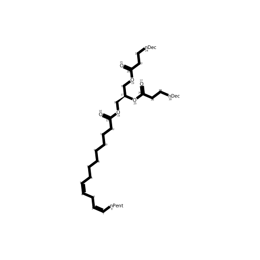 CCCCC/C=C\C/C=C\CCCCCCCC(=O)OC[C@@H](COC(=O)CCCCCCCCCCCC)OC(=O)CCCCCCCCCCCC